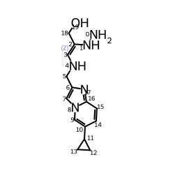 NN/C(=C\NCc1cn2cc(C3CC3)ccc2n1)CO